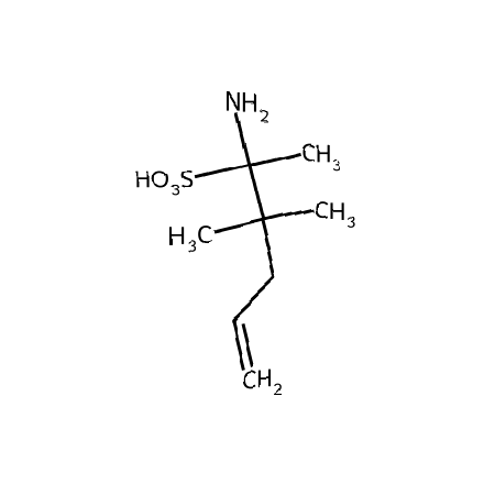 C=CCC(C)(C)C(C)(N)S(=O)(=O)O